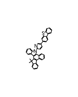 CC1(C)c2ccccc2-c2c1c1c3ccccc3n(-c3ccc(-c4ccc5c(c4)sc4ccccc45)cn3)c1c1ccccc21